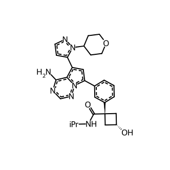 CC(C)NC(=O)[C@]1(c2cccc(-c3cc(-c4ccnn4C4CCOCC4)c4c(N)ncnn34)c2)C[C@H](O)C1